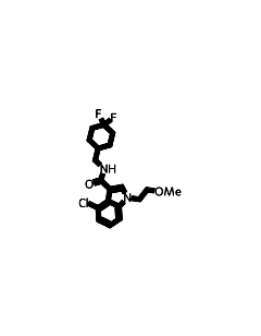 COCCn1cc(C(=O)NCC2CCC(F)(F)CC2)c2c(Cl)cccc21